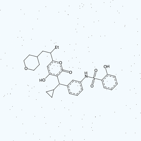 CCC(CC1CCOCC1)c1cc(O)c(C(c2cccc(NS(=O)(=O)c3ccccc3O)c2)C2CC2)c(=O)o1